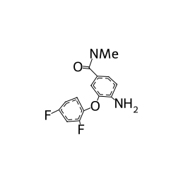 CNC(=O)c1ccc(N)c(Oc2ccc(F)cc2F)c1